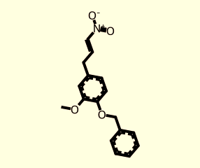 COc1cc(CC=C[N+](=O)[O-])ccc1OCc1ccccc1